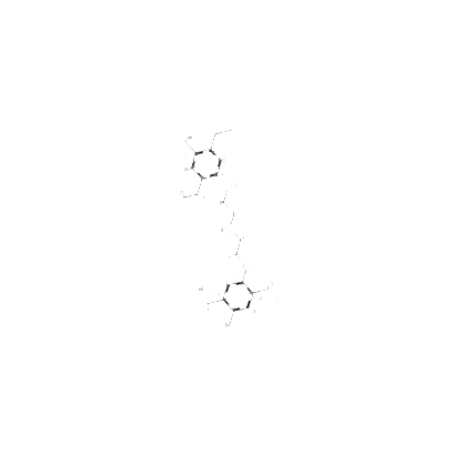 CCc1cc(OCCOCCOc2cc(CC)c(C)cc2CC)c(CC)cc1C